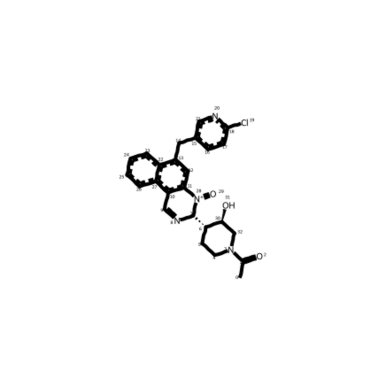 CC(=O)N1CC[C@H](C2N=Cc3c(cc(Cc4ccc(Cl)nc4)c4ccccc34)[N+]2=O)[C@@H](O)C1